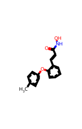 Cc1ccc(Oc2ccccc2/C=C/C(=O)NO)cc1